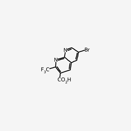 O=C(O)c1cc2cc(Br)cnc2nc1C(F)(F)F